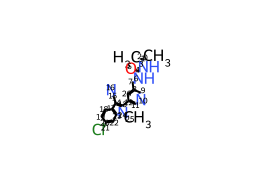 CC(C)NC(=O)NCc1cncc(-c2c(C#N)c3ccc(Cl)cc3n2C)c1